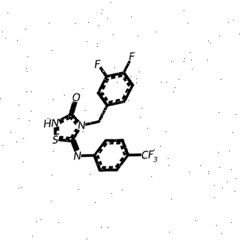 O=c1[nH]sc(=Nc2ccc(C(F)(F)F)cc2)n1Cc1ccc(F)c(F)c1